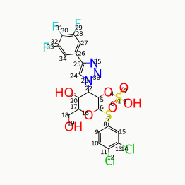 O=S(=O)(O)OC1C(Sc2ccc(Cl)c(Cl)c2)OC(CO)C(O)C1n1cc(-c2cc(F)c(F)c(F)c2)nn1